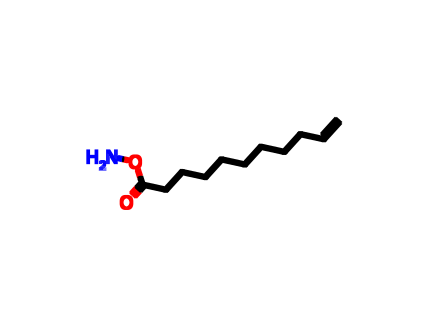 C=CCCCCCCCCC(=O)ON